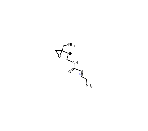 NC/C=N/C(=O)NCNC1(CN)CO1